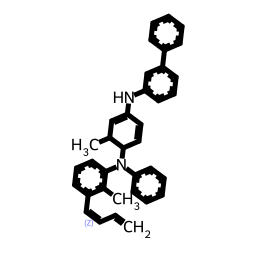 C=C/C=C\c1cccc(N(c2ccccc2)C2C=CC(Nc3cccc(-c4ccccc4)c3)=CC2C)c1C